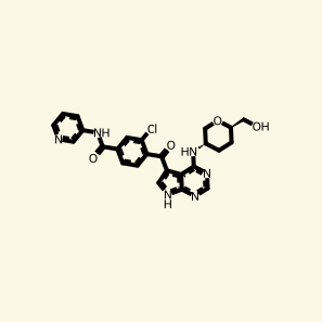 O=C(Nc1cccnc1)c1ccc(C(=O)c2c[nH]c3ncnc(N[C@H]4CC[C@H](CO)OC4)c23)c(Cl)c1